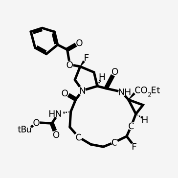 CCOC(=O)[C@@]12C[C@H]1CC(F)CCCCC[C@H](NC(=O)OC(C)(C)C)C(=O)N1C[C@](F)(OC(=O)c3ccccc3)C[C@H]1C(=O)N2